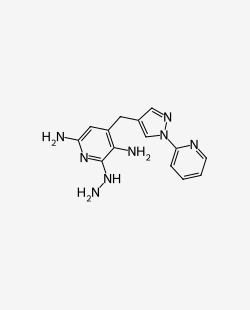 NNc1nc(N)cc(Cc2cnn(-c3ccccn3)c2)c1N